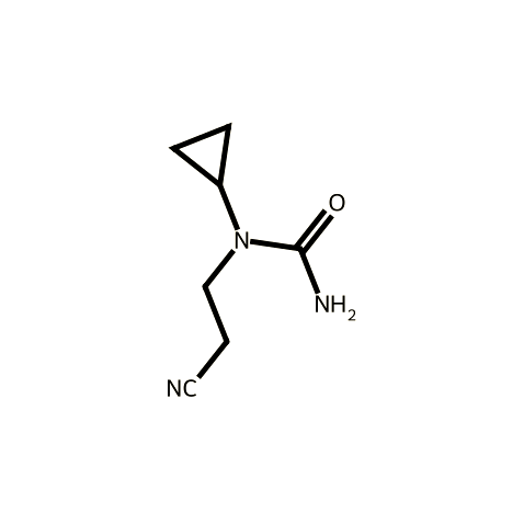 N#CCCN(C(N)=O)C1CC1